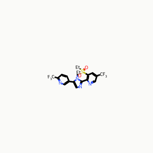 CCn1c(-c2ccc(C(F)(F)F)nc2)cnc1-c1ncc(C(F)(F)F)cc1S(=O)(=O)CC